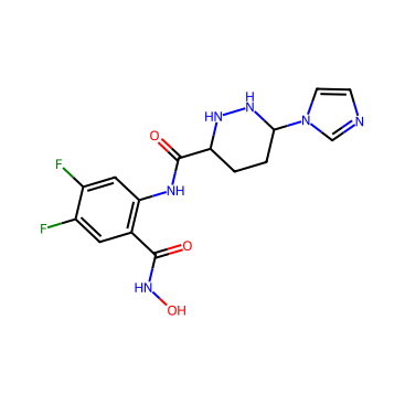 O=C(NO)c1cc(F)c(F)cc1NC(=O)C1CCC(n2ccnc2)NN1